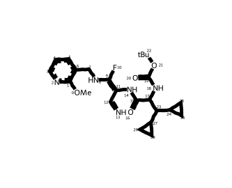 COc1ncccc1CN/C(F)=C(\C=N)NC(=O)C(NC(=O)OC(C)(C)C)C(C1CC1)C1CC1